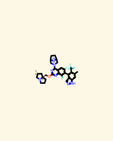 Cc1cc2[nH]ncc2c(-c2c(F)cc3c(N4CC5CCC(C4)N5)nc(OC[C@@]45CCCN4C[C@H](C)C5)nc3c2F)c1C(F)(F)F